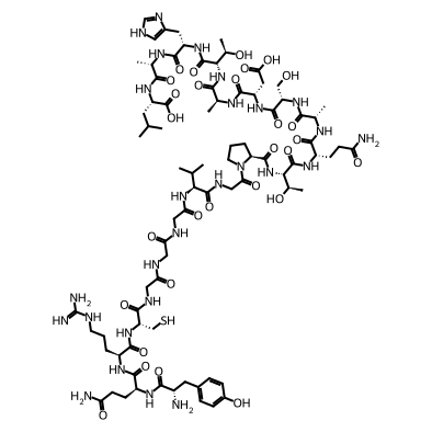 CC(C)C[C@H](NC(=O)[C@H](C)NC(=O)[C@H](Cc1c[nH]cn1)NC(=O)[C@@H](NC(=O)[C@H](C)NC(=O)[C@H](CC(=O)O)NC(=O)[C@H](CO)NC(=O)[C@H](C)NC(=O)[C@H](CCC(N)=O)NC(=O)[C@@H](NC(=O)[C@@H]1CCCN1C(=O)CNC(=O)[C@@H](NC(=O)CNC(=O)CNC(=O)CNC(=O)[C@H](CS)NC(=O)[C@H](CCCNC(=N)N)NC(=O)[C@H](CCC(N)=O)NC(=O)[C@@H](N)Cc1ccc(O)cc1)C(C)C)[C@@H](C)O)[C@@H](C)O)C(=O)O